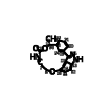 C[C@H]1OC(=O)NCCCOc2ccc3[nH]nc(c3c2)-c2cccc1c2